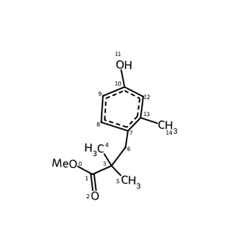 COC(=O)C(C)(C)Cc1ccc(O)cc1C